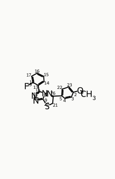 COc1ccc(C2=Nn3c(nnc3-c3ccccc3F)SC2)cc1